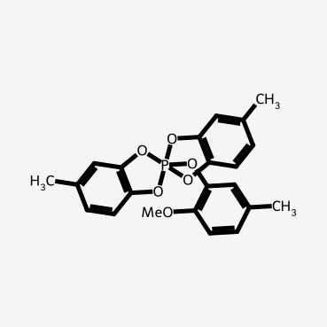 COc1ccc(C)cc1OP12(Oc3ccc(C)cc3O1)Oc1ccc(C)cc1O2